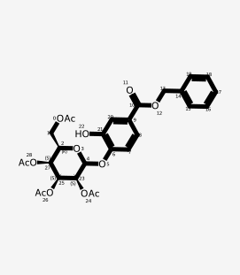 CC(=O)OC[C@H]1OC(Oc2ccc(C(=O)OCc3ccccc3)cc2O)[C@@H](OC(C)=O)[C@@H](OC(C)=O)[C@H]1OC(C)=O